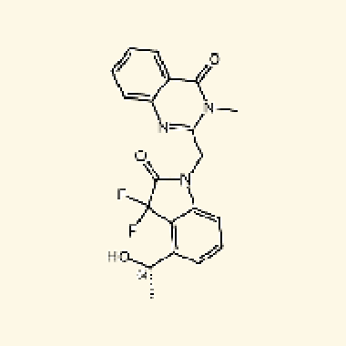 C[C@H](O)c1cccc2c1C(F)(F)C(=O)N2Cc1nc2ccccc2c(=O)n1C